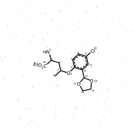 CCCC(CC(C)Oc1ccc(Cl)cc1C1OCCO1)C(=O)OCC